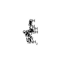 Nc1ncnc2c1ncn2[C@@H]1O[C@H](CO)[C@H](O)C1O[C@@H]1O[C@H](CPOOOO)[C@H](O)C1O